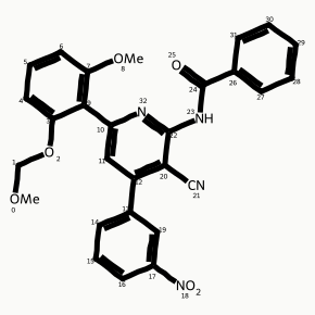 COCOc1cccc(OC)c1-c1cc(-c2cccc([N+](=O)[O-])c2)c(C#N)c(NC(=O)c2ccccc2)n1